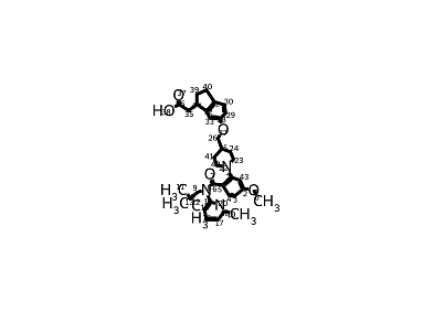 COc1ccc(C(=O)N(CC(C)(C)C)c2cccc(C)n2)c(N2CCC(COc3ccc4c(c3)C(CC(=O)O)CC4)CC2)c1